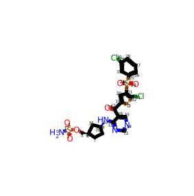 NS(=O)(=O)OC[C@@H]1CC[C@H](Nc2ncncc2C(=O)c2cc(S(=O)(=O)c3cccc(Cl)c3)c(Cl)s2)C1